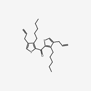 C=CCc1csc(C(=O)c2scc(CC=C)c2CCCCC)c1CCCCC